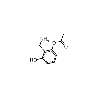 CC(=O)Oc1cccc(O)c1CN